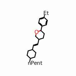 CCCCCC1CCC(/C=C/C2CCC(c3ccc(CC)cc3)OC2)CC1